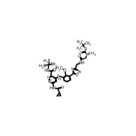 BC(B)(B)NC(=O)c1nnc(NC(=O)C2CC2)cc1Nc1cccc(-c2nc(CNC(=O)CN(C)C(=O)OC(C)(C)C)no2)c1OC